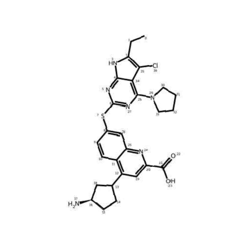 CCc1[nH]c2nc(Sc3ccc4c(C5CC[C@@H](N)C5)cc(C(=O)O)nc4c3)nc(N3CCCC3)c2c1Cl